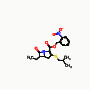 CCC1C(=O)N2C(C(=O)OCc3ccccc3[N+](=O)[O-])=C(SCC(C)C)CC12